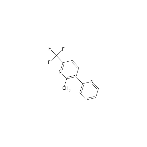 Cc1nc(C(F)(F)F)ccc1-c1ccccn1